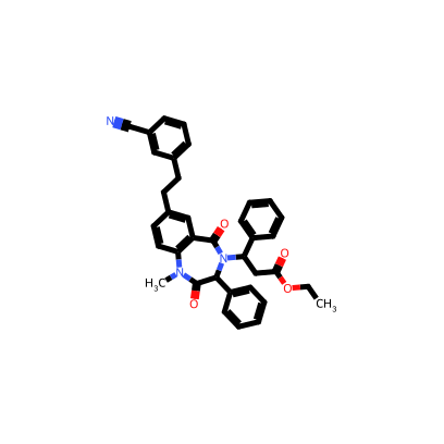 CCOC(=O)CC(c1ccccc1)N1C(=O)c2cc(CCc3cccc(C#N)c3)ccc2N(C)C(=O)C1c1ccccc1